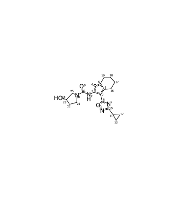 O=C(Nc1sc2c(c1-c1nc(C3CC3)no1)CCCC2)N1CC[C@@H](O)C1